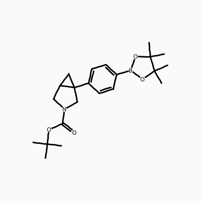 CC(C)(C)OC(=O)N1CC2CC2(c2ccc(B3OC(C)(C)C(C)(C)O3)cc2)C1